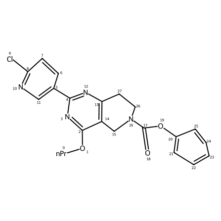 CCCOc1nc(-c2ccc(Cl)nc2)nc2c1CN(C(=O)Oc1ccccc1)CC2